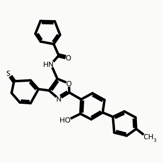 Cc1ccc(-c2ccc(-c3nc(C4=CC(=S)CC=C4)c(NC(=O)c4ccccc4)o3)c(O)c2)cc1